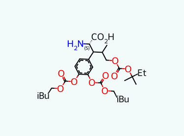 CCC(C)COC(=O)Oc1ccc(C(C(C)COC(=O)OC(C)(C)CC)[C@H](N)C(=O)O)cc1OC(=O)OCC(C)CC